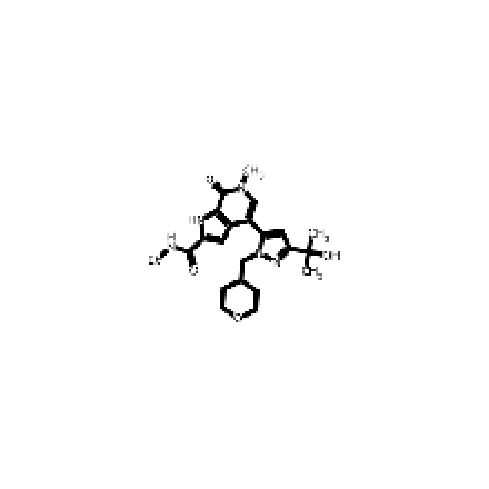 CCNC(=O)c1cc2c(-c3cc(C(C)(C)O)nn3CC3CCOCC3)cn(C)c(=O)c2[nH]1